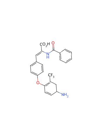 NC1C=CC(Oc2ccc(C=C(NC(=O)c3ccccc3)C(=O)O)cc2)=C(C(F)(F)F)C1